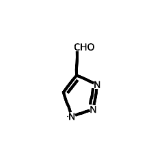 O=CC1=C[N]N=N1